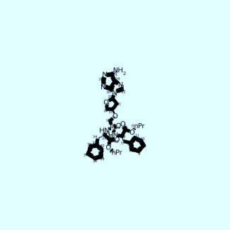 CCCOC(=O)[C@H](Cc1ccccc1)NP(=O)(CO[C@H]1COC(n2cnc3c(N)ncnc32)C1)N[C@@H](Cc1ccccc1)C(=O)OCCC